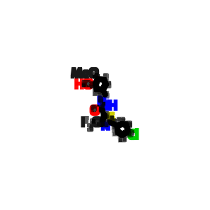 COc1ccc(/C=N/NC(=O)c2sc(-c3ccc(Cl)cc3)nc2C(F)(F)F)cc1O